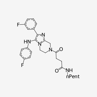 CCCCCNC(=O)CCC(=O)N1CCn2c(nc(-c3cccc(F)c3)c2Nc2ccc(F)cc2)C1